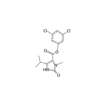 CC(C)c1[nH]c(=O)n(C)c1C(=O)Oc1cc(Cl)cc(Cl)c1